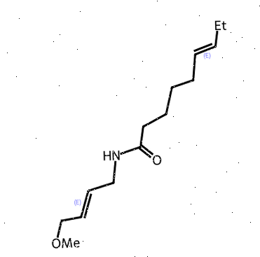 CC/C=C/CCCCC(=O)NC/C=C/COC